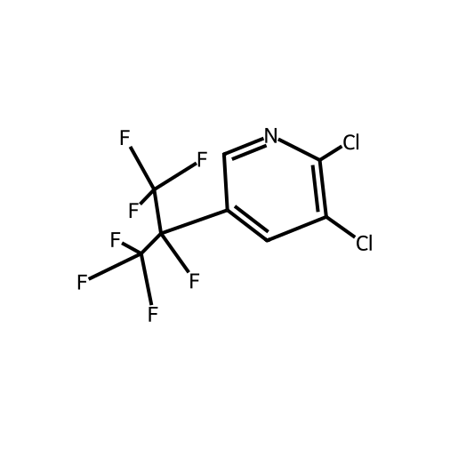 FC(F)(F)C(F)(c1cnc(Cl)c(Cl)c1)C(F)(F)F